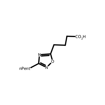 CCCCCc1noc(CCCC(=O)O)n1